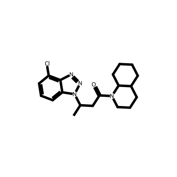 CC(CC(=O)N1CCCC2CCCCC21)n1nnc2c(Cl)cccc21